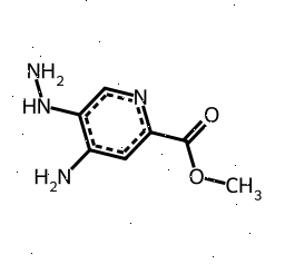 COC(=O)c1cc(N)c(NN)cn1